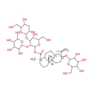 C=C1C[C@@]23CCC4[C@](C)(C(=O)OC5OC(CO)C(O)C(OC6OC(CO)C(O)CC6O)C5OC5OC(CO)C(O)C(O)C5O)CCC[C@@]4(C)[C@@H]2CC[C@]1(OC1OC(CO)C(O)C(O)C1O)C3